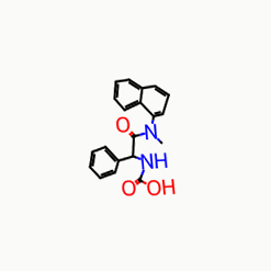 CN(C(=O)C(NC(=O)O)c1ccccc1)c1cccc2ccccc12